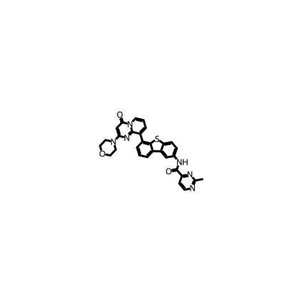 Cc1nccc(C(=O)Nc2ccc3sc4c(-c5cccn6c(=O)cc(N7CCOCC7)nc56)cccc4c3c2)n1